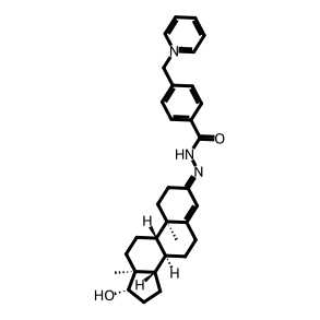 C[C@]12CC[C@H]3[C@@H](CCC4=C/C(=N/NC(=O)c5ccc(C[n+]6ccccc6)cc5)CC[C@@]43C)[C@@H]1CC[C@@H]2O